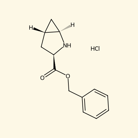 Cl.O=C(OCc1ccccc1)[C@H]1C[C@@H]2C[C@H]2N1